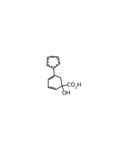 O=C(O)C1(O)C=CC=C(c2ccccc2)C1